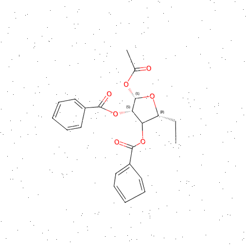 CC[C@H]1O[C@@H](OC(C)=O)[C@@H](OC(=O)c2ccccc2)C1OC(=O)c1ccccc1